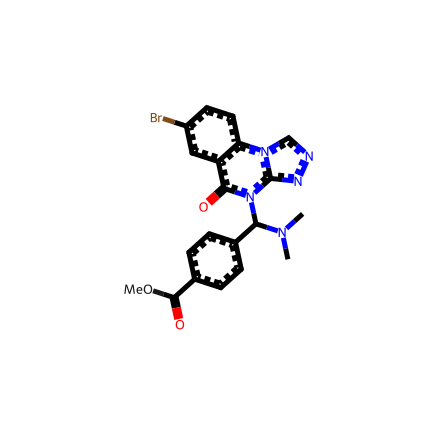 COC(=O)c1ccc(C(N(C)C)n2c(=O)c3cc(Br)ccc3n3cnnc23)cc1